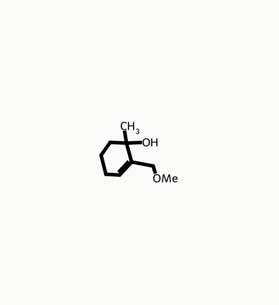 COCC1=CCCCC1(C)O